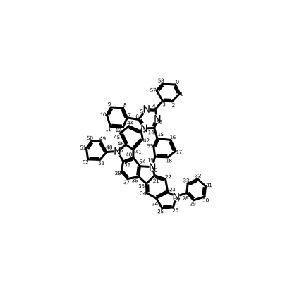 c1ccc(-c2nc(-c3ccccc3)nc(-c3cccc(-n4c5cc6c(ccn6-c6ccccc6)cc5c5ccc6c(c7ccccc7n6-c6ccccc6)c54)c3)n2)cc1